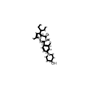 CCC(CC)c1cc(C)n2nc(-c3ccc(N4CCC(O)CC4)cc3C)n(C)c(=O)c12